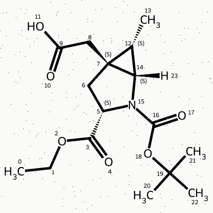 CCOC(=O)[C@@H]1C[C@]2(CC(=O)O)[C@H](C)[C@@H]2N1C(=O)OC(C)(C)C